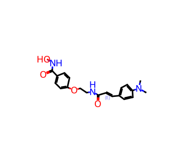 CN(C)c1ccc(/C=C/C(=O)NCCOc2ccc(C(=O)NO)cc2)cc1